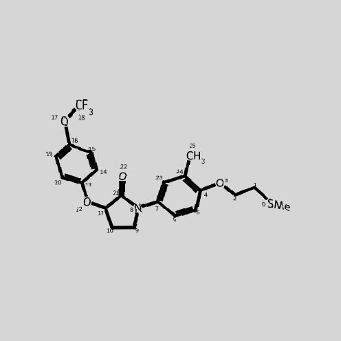 CSCCOc1ccc(N2CCC(Oc3ccc(OC(F)(F)F)cc3)C2=O)cc1C